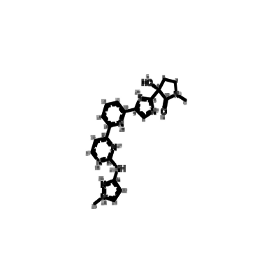 CN1CC[C@@](O)(c2ncc(-c3cccc(-c4ccnc(Nc5ccn(C)n5)n4)n3)s2)C1=O